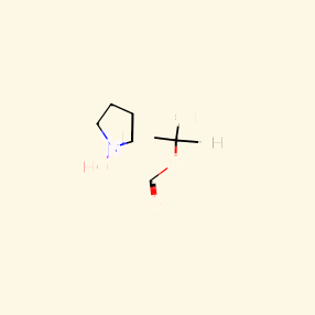 CC(C)(C)OC=O.ON1CCCC1